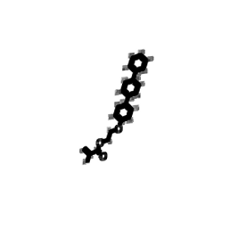 C=C(C)C(=O)OCCOc1ccc(-c2ccc(-c3ccccc3)cc2)cc1